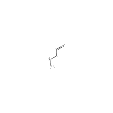 [NH2][Sn][CH2]C=O